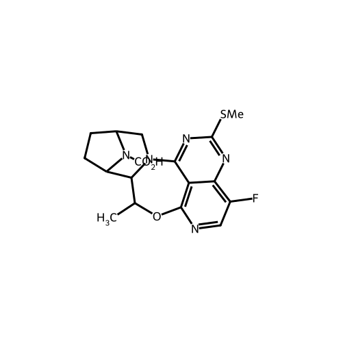 CSc1nc2c3c(ncc(F)c3n1)OC(C)C1C3CCC(CN21)N3C(=O)O